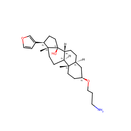 C[C@]12CC[C@H](OCCCN)C[C@@H]1CC[C@@H]1[C@@H]2CC[C@]2(C)[C@@H](c3ccoc3)CC[C@]12O